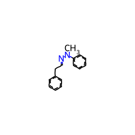 CN(N=CCc1ccccc1)c1ccccc1